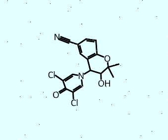 CC1(C)Oc2ccc(C#N)cc2C(n2cc(Cl)c(=O)c(Cl)c2)C1O